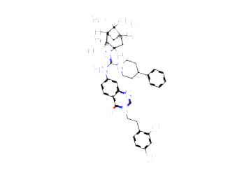 C[C@@H]1[C@@H](/N=C(/Nc2ccc3c(=O)n(CCc4ccc(Cl)cc4Cl)cnc3c2)N2CCC(c3ccccc3)CC2)C[C@@H]2C[C@H]1C2(C)C